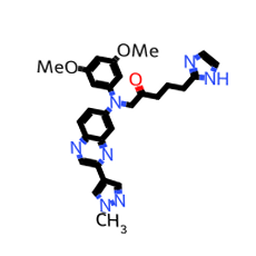 COc1cc(OC)cc(N(CC(=O)CCCc2ncc[nH]2)c2ccc3ncc(-c4cnn(C)c4)nc3c2)c1